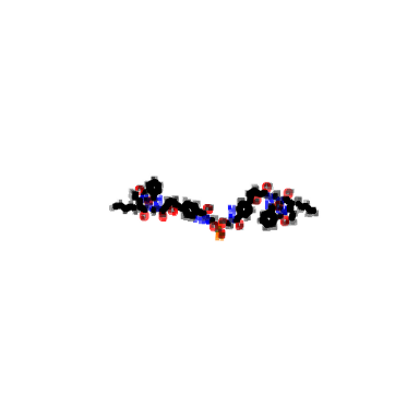 CCCCC[C@@H](C(=O)NCNC(=O)c1ccc(-c2ccc(C(=O)NCO[PH](=O)OCNC(=O)c3ccc(-c4ccc(C(=O)NCNC(=O)[C@H](CCCCC)[C@@H](CC)N(C=O)OCc5ccccc5)o4)cc3)cc2)o1)[C@@H](CC)N(C=O)OCc1ccccc1